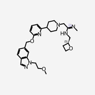 C/N=C(/CN1CCC(c2cccc(OCc3ccc4cnn(CCOC)c4c3)n2)CC1)NC[C@@H]1CCO1